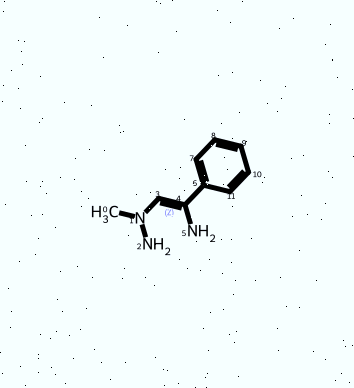 CN(N)/C=C(\N)c1ccccc1